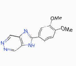 COc1ccc(-c2nc3cnncc3[nH]2)cc1OC